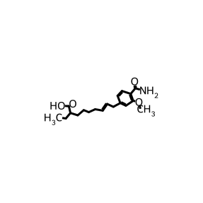 CCC(CCCCC=CCc1ccc(C(N)=O)c(OC)c1)C(=O)O